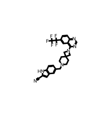 N#Cc1cc2cc(CN3CCC4(CC3)CN(c3ncnc5ccc(C(F)(F)C(F)(F)F)cc35)C4)ccc2[nH]1